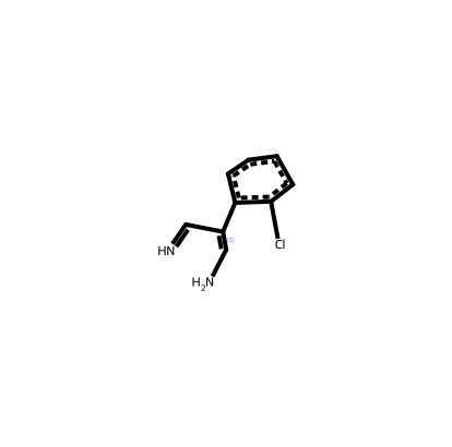 N=C/C(=C\N)c1ccccc1Cl